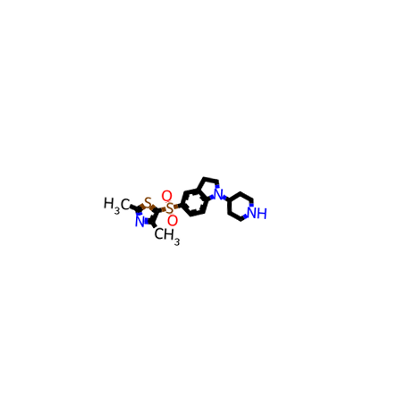 Cc1nc(C)c(S(=O)(=O)c2ccc3c(c2)CCN3C2CCNCC2)s1